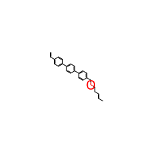 C=Cc1ccc(-c2ccc(-c3ccc(COCC/C=C/C)cc3)cc2)cc1